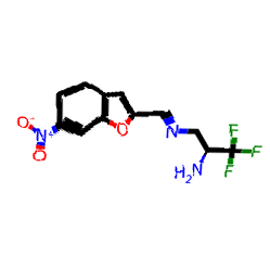 N[C@@H](CN=Cc1cc2ccc([N+](=O)[O-])cc2o1)C(F)(F)F